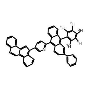 [2H]c1c([2H])c([2H])c(-c2c3ccccc3c(-c3ccc(-c4cc5c6ccccc6ccc5c5ccccc45)cn3)c3ccc(-c4ccccc4)cc23)c([2H])c1[2H]